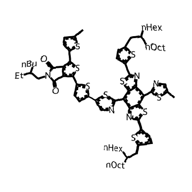 CCCCCCCCC(CCCCCC)Cc1ccc(-c2nc3c(-c4ncc(-c5ccc(-c6sc(-c7ccc(C)s7)c7c6C(=O)N(CC(CC)CCCC)C7=O)s5)s4)c4sc(-c5ccc(CC(CCCCCC)CCCCCCCC)s5)nc4c(-c4ncc(C)s4)c3s2)s1